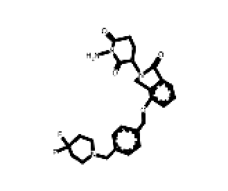 NN1C(=O)CCC(N2Cc3c(OCc4ccc(CN5CCC(F)(F)CC5)cc4)cccc3C2=O)C1=O